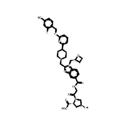 COC(=O)[C@@H]1C[C@H](O)CN1C(=O)CNC(=O)c1ccc2c(c1)nc(CN1CCC(c3cccc(OCc4ccc(C#N)cc4F)n3)CC1)n2C[C@@H]1CCO1